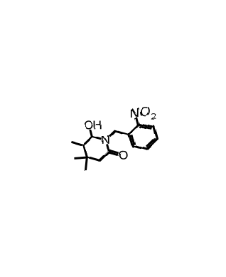 CC1C(O)N(Cc2ccccc2[N+](=O)[O-])C(=O)CC1(C)C